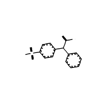 CS(=O)(=O)c1ccc(C(C(=O)O)c2ccccc2)cc1